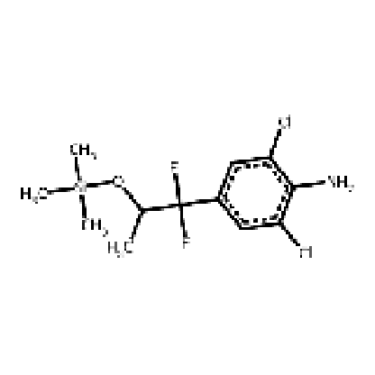 CC(O[Si](C)(C)C)C(F)(F)c1cc(Cl)c(N)c(Cl)c1